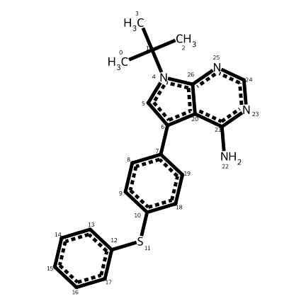 CC(C)(C)n1cc(-c2ccc(Sc3ccccc3)cc2)c2c(N)ncnc21